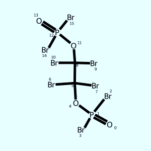 O=P(Br)(Br)OC(Br)(Br)C(Br)(Br)OP(=O)(Br)Br